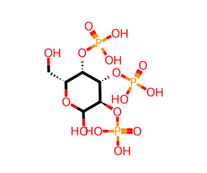 O=P(O)(O)O[C@@H]1[C@H](OP(=O)(O)O)[C@@H](OP(=O)(O)O)C(O)O[C@@H]1CO